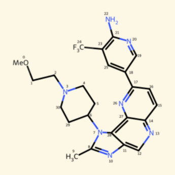 COCCN1CCC(n2c(C)nc3cnc4ccc(-c5cnc(N)c(C(F)(F)F)c5)nc4c32)CC1